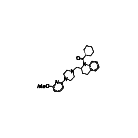 COc1cccc(N2CCN(CC3CCc4ccccc4N3C(=O)C3CCCCC3)CC2)n1